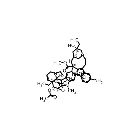 CC[C@]1(O)C[C@H]2CN(CCc3c([nH]c4ccc(N)cc34)[C@@](C(=O)OC)(C3C=C4C(=CC3OC)N(C)[C@@]35O[C@]3(C(=O)OC)[C@H](OC(C)=O)[C@]3(CC)C=CCN6CC[C@]45[C@@H]63)C2)C1